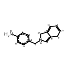 Nc1ccc(CN2C=C3CC=CC=C3C2)cc1